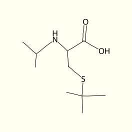 CC(C)NC(CSC(C)(C)C)C(=O)O